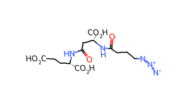 [N-]=[N+]=NCCCC(=O)N[C@H](CC(=O)N[C@@H](CCC(=O)O)C(=O)O)C(=O)O